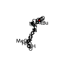 COc1cc(N2CCN(C3CCC(n4cc(-c5cn6ncc(C#N)c6c(-c6ccc(N7CC8COCC(C7)N8C(=O)OC(C)(C)C)nc6)n5)cn4)CC3)CC2)c(F)cc1NC1CCC(=O)NC1=O